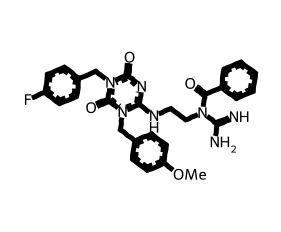 COc1ccc(Cn2c(NCCN(C(=N)N)C(=O)c3ccccc3)nc(=O)n(Cc3ccc(F)cc3)c2=O)cc1